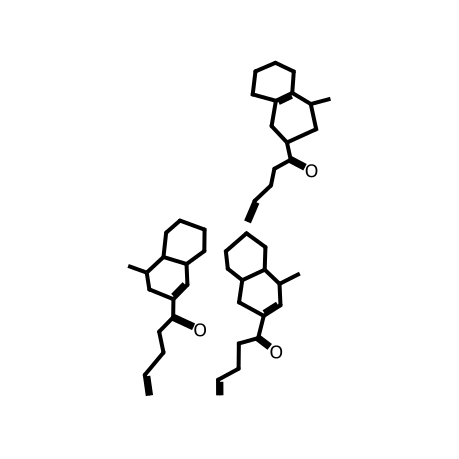 C=CCCC(=O)C1=CC(C)C2CCCCC2C1.C=CCCC(=O)C1=CC2CCCCC2C(C)C1.C=CCCC(=O)C1CC2=C(CCCC2)C(C)C1